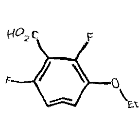 CCOc1ccc(F)c(C(=O)O)c1F